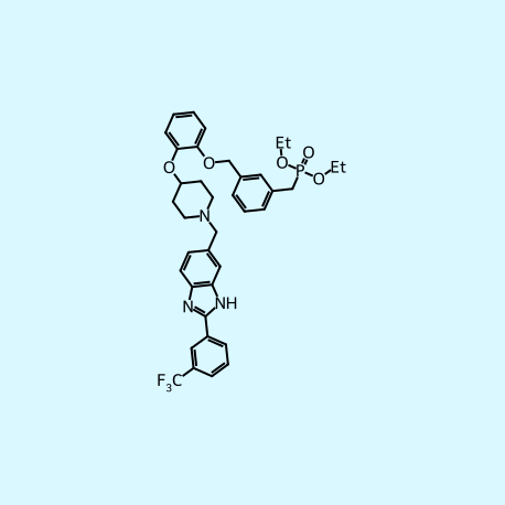 CCOP(=O)(Cc1cccc(COc2ccccc2OC2CCN(Cc3ccc4nc(-c5cccc(C(F)(F)F)c5)[nH]c4c3)CC2)c1)OCC